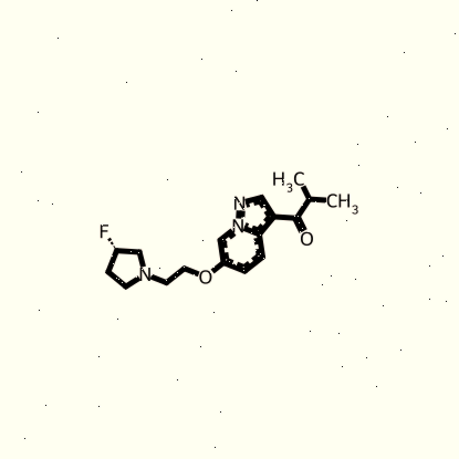 CC(C)C(=O)c1cnn2cc(OCCN3CC[C@H](F)C3)ccc12